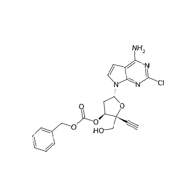 C#C[C@]1(CO)O[C@@H](n2ccc3c(N)nc(Cl)nc32)C[C@@H]1OC(=O)OCc1ccccc1